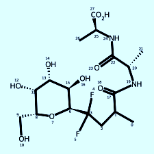 CC(CC(F)(F)[C@H]1O[C@H](CO)[C@H](O)[C@H](O)[C@H]1O)C(=O)N[C@@H](C)C(=O)N[C@@H](C)C(=O)O